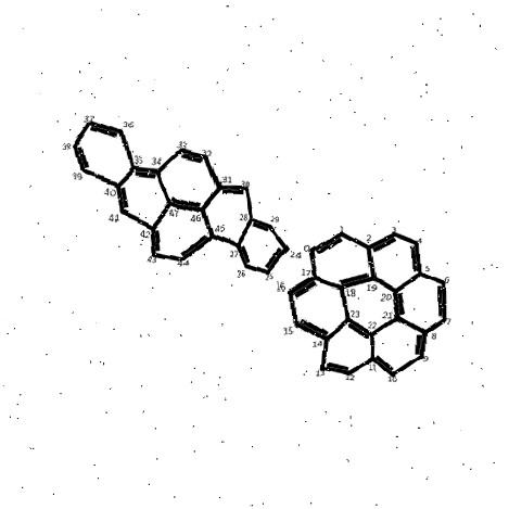 c1cc2ccc3ccc4ccc5ccc6ccc1c1c2c3c4c5c61.c1ccc2c(c1)cc1ccc3c4ccccc4cc4ccc2c1c43